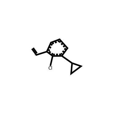 C=[C]c1cccc(C2CC2)c1Cl